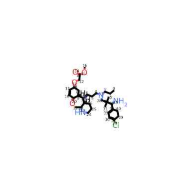 CCCN(CC/C=C1/[C@H]2C[C@@H](OCC(=O)OC)C=CC2OCC2NCCC[C@@H]12)CC(C)(C)C(N)C1=CC=C(Cl)CC1